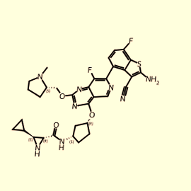 CN1CCC[C@H]1COc1nc(O[C@@H]2CC[C@H](NC(=O)[C@@H]3N[C@H]3C3CC3)C2)c2cnc(-c3ccc(F)c4sc(N)c(C#N)c34)c(F)c2n1